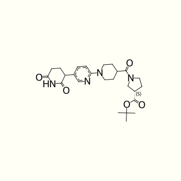 CC(C)(C)OC(=O)[C@H]1CCN(C(=O)C2CCN(c3ccc(C4CCC(=O)NC4=O)cn3)CC2)C1